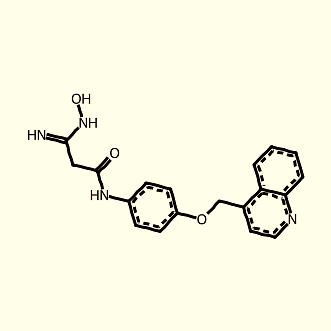 N=C(CC(=O)Nc1ccc(OCc2ccnc3ccccc23)cc1)NO